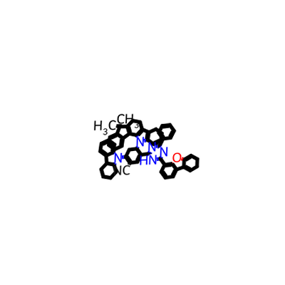 CC1(C)C2=C(c3ccccc31)c1c(c3c(n1C1CC(N4c5ccccc5C5CCCCC54)=C(C#N)C=C1C1=NC(c4ccccc4)=NC(c4cccc5c6c(oc45)=CCCC=6)N1)C=CCC3)CC2